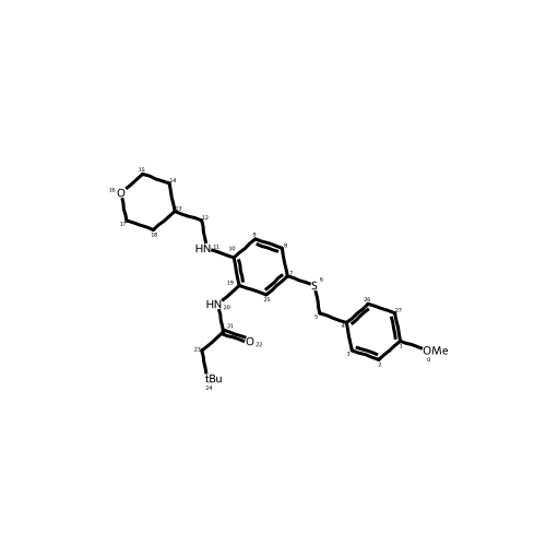 COc1ccc(CSc2ccc(NCC3CCOCC3)c(NC(=O)CC(C)(C)C)c2)cc1